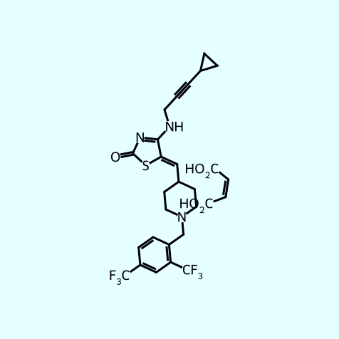 O=C(O)/C=C\C(=O)O.O=C1N=C(NCC#CC2CC2)/C(=C/C2CCN(Cc3ccc(C(F)(F)F)cc3C(F)(F)F)CC2)S1